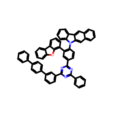 c1ccc(-c2ccc(-c3cccc(-c4nc(-c5ccccc5)nc(-c5ccc(-n6c7ccccc7c7cc8ccccc8cc76)c(-c6cccc7c6oc6ccccc67)c5)n4)c3)cc2)cc1